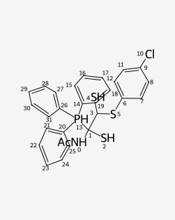 CC(=O)NC(S)(C(S)Sc1ccc(Cl)cc1)[PH](c1ccccc1)(c1ccccc1)c1ccccc1